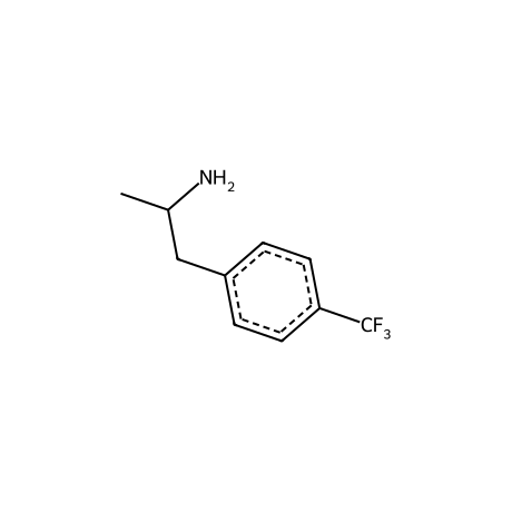 CC(N)Cc1ccc(C(F)(F)F)cc1